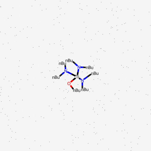 CCCC[O][Ti]([N](CCCC)CCCC)([N](CCCC)CCCC)[N](CCCC)CCCC